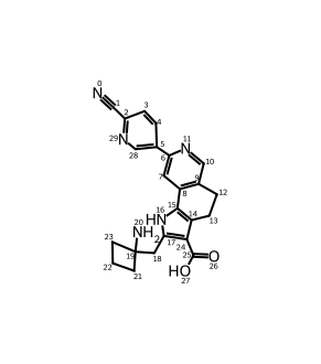 N#Cc1ccc(-c2cc3c(cn2)CCc2c-3[nH]c(CC3(N)CCC3)c2C(=O)O)cn1